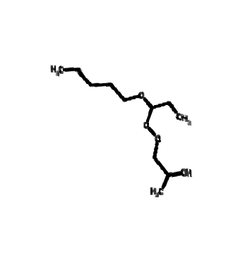 CCCCCOC(CC)OOCC(C)O